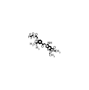 CCOc1nc2c(cc1C(=O)NC)C(=N)N(CC(=O)c1ccc(OCC(=O)OC(=O)C(F)(F)F)c(C(C)(C)C)c1)C2